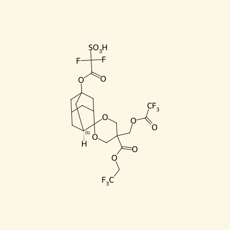 O=C(OCC1(C(=O)OCC(F)(F)F)COC2(OC1)C1CC3C[C@H]2CC(OC(=O)C(F)(F)S(=O)(=O)O)(C3)C1)C(F)(F)F